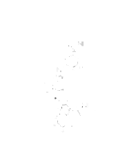 NC(=O)n1cc(NC(=O)N2CCC[C@H]2C(=O)Nc2cccc([S+](N)[O-])c2)c2ccccc21